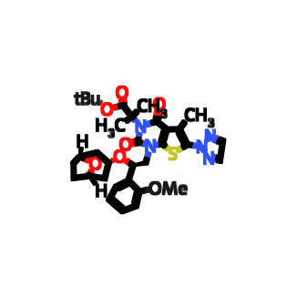 COc1ccccc1[C@H](Cn1c(=O)n(C(C)(C)C(=O)OC(C)(C)C)c(=O)c2c(C)c(-n3nccn3)sc21)O[C@@H]1C[C@H]2CC[C@@H](C1)O2